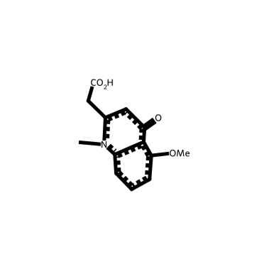 COc1cccc2c1c(=O)cc(CC(=O)O)n2C